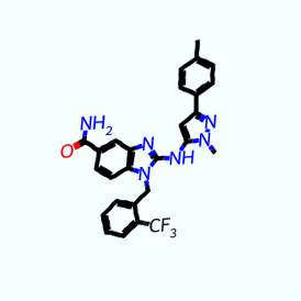 Cc1ccc(-c2cc(Nc3nc4cc(C(N)=O)ccc4n3Cc3ccccc3C(F)(F)F)n(C)n2)cc1